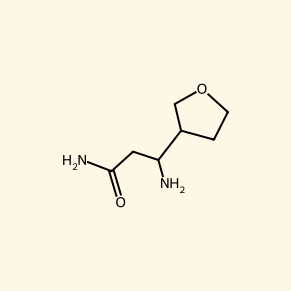 NC(=O)CC(N)C1CCOC1